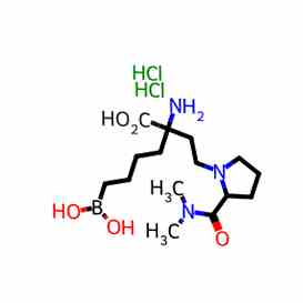 CN(C)C(=O)C1CCCN1CCC(N)(CCCCB(O)O)C(=O)O.Cl.Cl